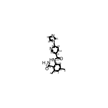 Cc1cc(C)c(C(N)=O)c(NC(=O)c2ccc(-n3ccnc3)nn2)c1